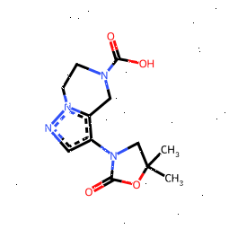 CC1(C)CN(c2cnn3c2CN(C(=O)O)CC3)C(=O)O1